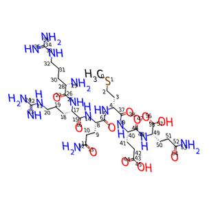 CSCC[C@@H](NC(=O)[C@H](CCC(N)=O)NC(=O)[C@H](CCCNC(=N)N)NC(=O)[C@@H](N)CCCNC(=N)N)C(=O)N[C@@H](CCC(=O)O)C(=O)N[C@@H](CCC(N)=O)C(=O)O